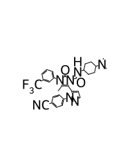 Cc1c(-c2ccnn2-c2ccc(C#N)cc2)n(C(=O)NC2CCC(N(C)C)CC2)c(=O)n1-c1cccc(C(F)(F)F)c1